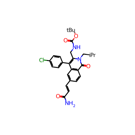 CC(C)Cn1c(CNC(=O)OC(C)(C)C)c(-c2ccc(Cl)cc2)c2cc(/C=C/C(N)=O)ccc2c1=O